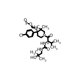 CC(C)[C@@H](NC(=O)NCC(C)(C)O)C(=O)N1CC[C@](OCOP=O)(c2ccc(Cl)cc2)C(C)(C)C1